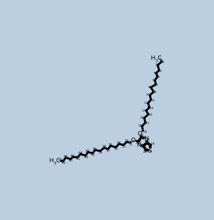 CCCCCCCCCCCCCCCCCCCCOc1nc2cscc2nc1OCCCCCCCCCCCCCCCCCCCC